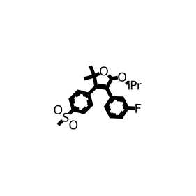 CC(C)OC1OC(C)(C)C(c2ccc(S(C)(=O)=O)cc2)=C1c1cccc(F)c1